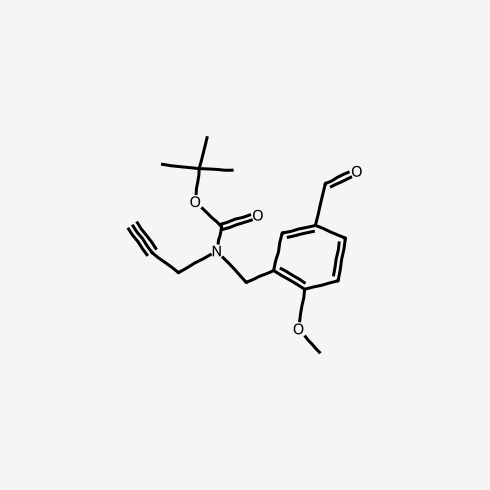 C#CCN(Cc1cc(C=O)ccc1OC)C(=O)OC(C)(C)C